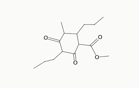 CCCC1C(=O)C(C)C(CCC)C(C(=O)OC)C1=O